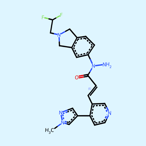 Cn1cc(-c2ccncc2/C=C/C(=O)N(N)c2ccc3c(c2)CN(CC(F)F)C3)cn1